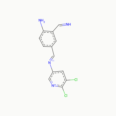 N=Cc1cc(/C=N/c2cnc(Cl)c(Cl)c2)ccc1N